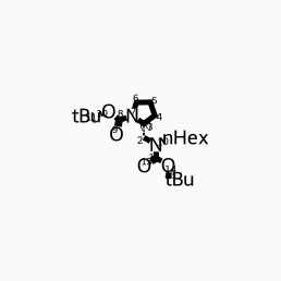 CCCCCCN(C[C@H]1CCCN1C(=O)OC(C)(C)C)C(=O)OC(C)(C)C